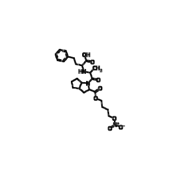 CC(NC(CCc1ccccc1)C(=O)O)C(=O)N1C(C(=O)OCCCCO[N+](=O)[O-])CC2CCCC21